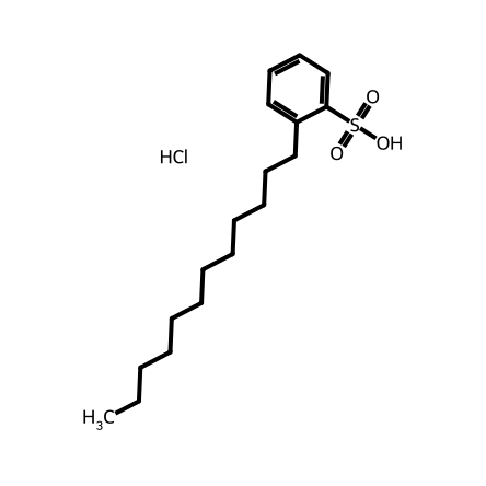 CCCCCCCCCCCCc1ccccc1S(=O)(=O)O.Cl